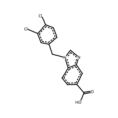 O=C(O)c1ccc2c(c1)ncn2Cc1ccc(Cl)c(Cl)c1